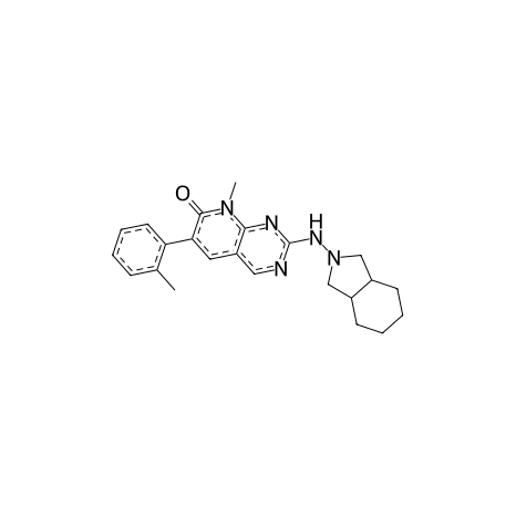 Cc1ccccc1-c1cc2cnc(NN3CC4CCCCC4C3)nc2n(C)c1=O